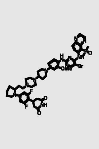 COc1cc(N2CCC(N3CCN(CCC4CCCCN4c4cc(F)c(C5CC(=O)NC(=O)C5)c(F)c4)CC3)CC2)ccc1Nc1ncc(Br)c(Nc2ccc3nccnc3c2P(C)(C)=O)n1